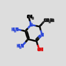 CCOC(=O)C1N=C(O)C(N)=C(N)N1C